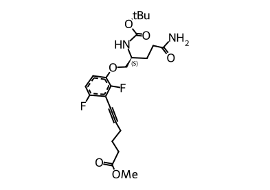 COC(=O)CCCC#Cc1c(F)ccc(OC[C@H](CCC(N)=O)NC(=O)OC(C)(C)C)c1F